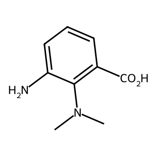 CN(C)c1c(N)cccc1C(=O)O